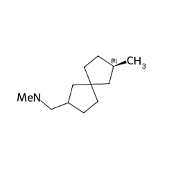 CNCC1CCC2(CC[C@@H](C)C2)C1